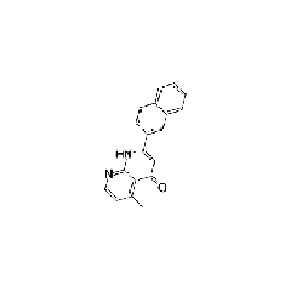 Cc1ccnc2[nH]c(-c3ccc4ccccc4c3)cc(=O)c12